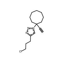 C#CC1(n2cc(CCCCl)nn2)CCCCCCC1